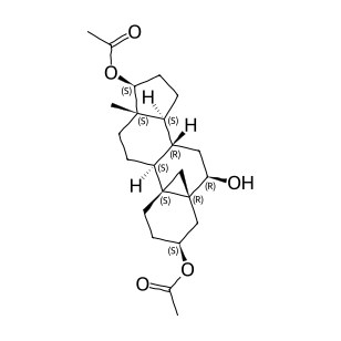 CC(=O)O[C@H]1CC[C@@]23C[C@]2(C1)[C@H](O)C[C@H]1[C@@H]2CC[C@H](OC(C)=O)[C@@]2(C)CC[C@@H]13